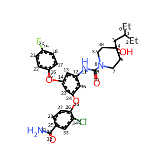 CCC(CC)CC1(O)CCN(C(=O)Nc2cc(Oc3ccc(F)cc3)cc(Oc3ccc(C(N)=O)cc3Cl)c2)CC1